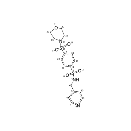 O=S(=O)(NCc1ccncc1)c1ccc(S(=O)(=O)N2CCOCC2)cc1